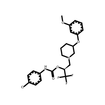 COc1cccc(OC2CCCN(C[C@H](OC(=O)Nc3ccc(Cl)cc3)C(F)(F)F)C2)c1